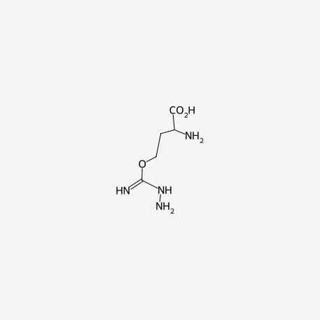 N=C(NN)OCCC(N)C(=O)O